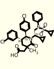 C[C@@]1(CC(=O)O)C[C@H](c2cccc(Cl)c2)[C@@H](c2ccc(Cl)cc2)N([C@H](CN(c2ccccc2)S(=O)(=O)C2CC2)C2CC2)C1=O